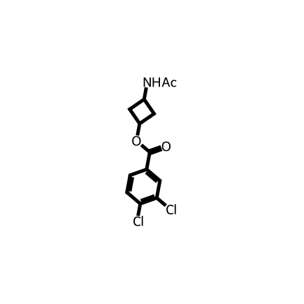 CC(=O)NC1CC(OC(=O)c2ccc(Cl)c(Cl)c2)C1